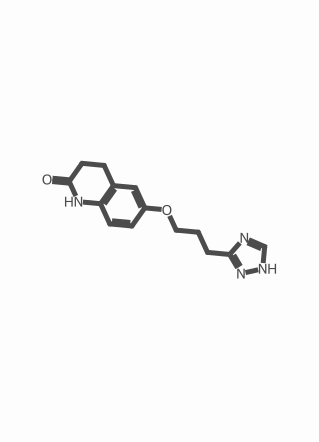 O=C1CCc2cc(OCCCc3nc[nH]n3)ccc2N1